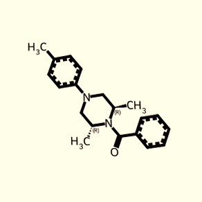 Cc1ccc(N2C[C@@H](C)N(C(=O)c3ccccc3)[C@H](C)C2)cc1